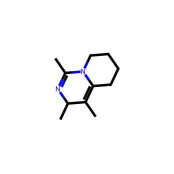 CC1=NC(C)C(C)=C2CCCCN12